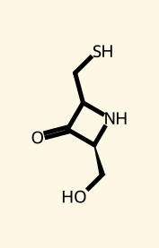 O=C1C(CS)N[C@H]1CO